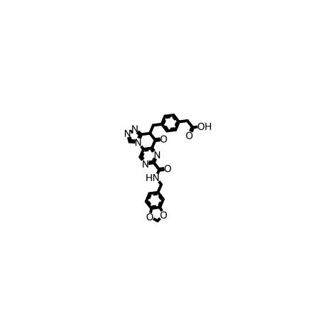 O=C(O)Cc1ccc(CC2C(=O)c3nc(C(=O)NCc4ccc5c(c4)OCO5)ncc3-n3cnnc32)cc1